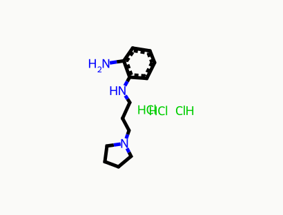 Cl.Cl.Cl.Nc1ccccc1NCCCN1CCCC1